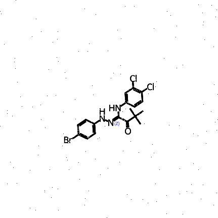 CC(C)(C)C(=O)/C(=N/Nc1ccc(Br)cc1)Nc1ccc(Cl)c(Cl)c1